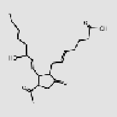 CCCCCC(O)C=CC1C(C(C)=O)CC(=O)C1CC=CCCCC(=O)O